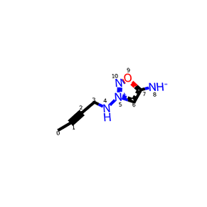 CC#CCN[n+]1cc([NH-])on1